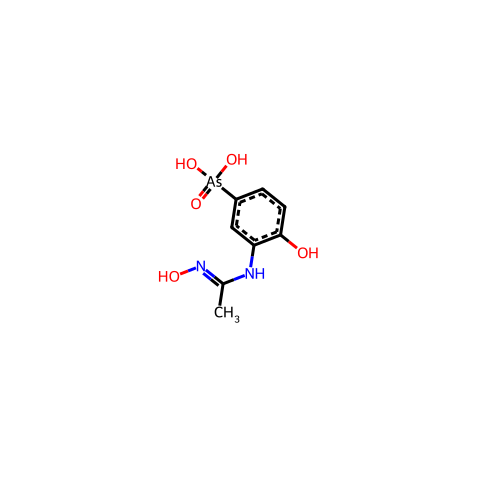 CC(=NO)Nc1cc([As](=O)(O)O)ccc1O